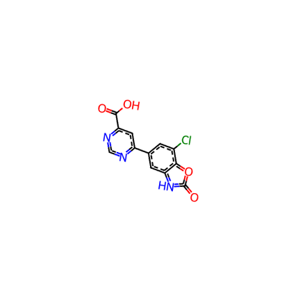 O=C(O)c1cc(-c2cc(Cl)c3oc(=O)[nH]c3c2)ncn1